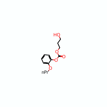 CCCOc1ccccc1OC(=O)OCCCO